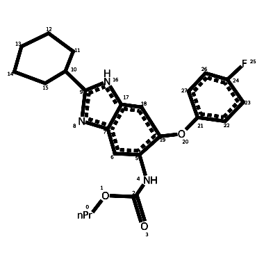 CCCOC(=O)Nc1cc2nc(C3CCCCC3)[nH]c2cc1Oc1ccc(F)cc1